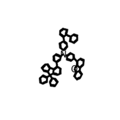 c1ccc(-c2ccccc2-c2ccc(N(c3ccc(-c4cccc5c4oc4ccccc45)cc3)c3cccc(-c4cccc5c4-c4ccccc4C5(c4ccccc4)c4ccccc4)c3)cc2)cc1